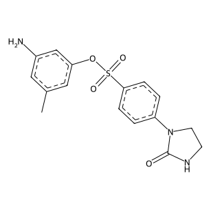 Cc1cc(N)cc(OS(=O)(=O)c2ccc(N3CCNC3=O)cc2)c1